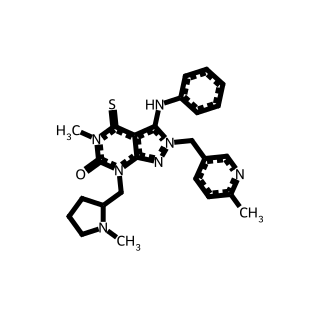 Cc1ccc(Cn2nc3c(c2Nc2ccccc2)c(=S)n(C)c(=O)n3CC2CCCN2C)cn1